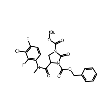 CN(C(=O)C1CN(C(=O)OC(C)(C)C)C(=O)N1C(=O)OCc1ccccc1)c1ccc(F)c(Cl)c1F